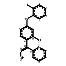 Cc1ccccc1Nc1ccc(/C(=N/O)c2ccccn2)c(Cl)c1